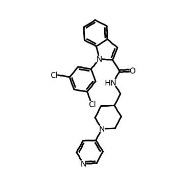 O=C(NCC1CCN(c2ccncc2)CC1)c1cc2ccccc2n1-c1cc(Cl)cc(Cl)c1